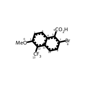 COc1ccc2c(C(=O)O)c(Br)ccc2c1C(F)(F)F